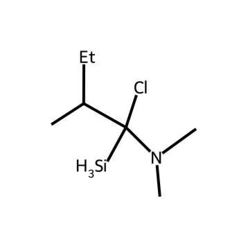 CCC(C)C([SiH3])(Cl)N(C)C